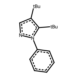 CC(C)(C)c1cnn(-c2ccccc2)c1C(C)(C)C